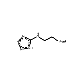 CCCCCCCNc1nnn[nH]1